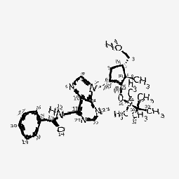 C[C@@H]1[C@@H](CO)C[C@@H](n2cnc3c(NC(=O)c4ccccc4)ncnc32)[C@@H]1O[Si](C)(C)C(C)(C)C